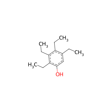 CCc1cc(O)c(CC)c(CC)c1CC